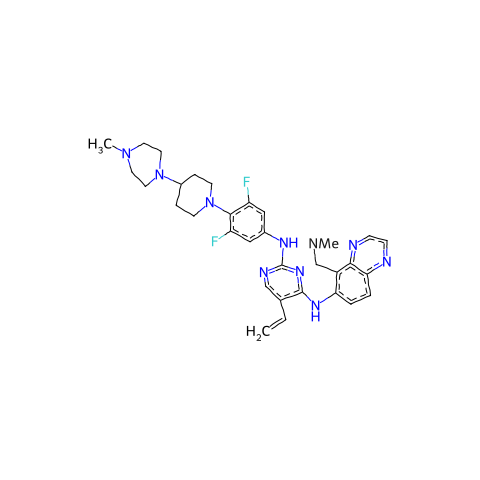 C=Cc1cnc(Nc2cc(F)c(N3CCC(N4CCN(C)CC4)CC3)c(F)c2)nc1Nc1ccc2nccnc2c1CNC